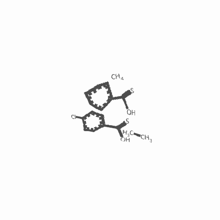 C.CC.OC(=S)c1ccc(Cl)cc1.OC(=S)c1ccccc1